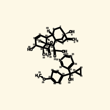 C=C1C[C@]23C[C@@]1(O)CC[C@H]2[C@@]12C=C[C@H](O)[C@@](C)(C(=O)O1)[C@H]2[C@@H]3C(=O)O.COc1ccc(C(O)(c2cncnc2)C2CC2)cc1